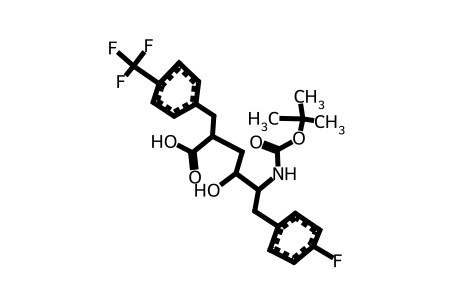 CC(C)(C)OC(=O)NC(Cc1ccc(F)cc1)C(O)CC(Cc1ccc(C(F)(F)F)cc1)C(=O)O